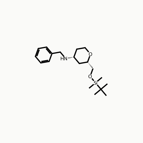 CC(C)(C)[Si](C)(C)OC[C@@H]1C[C@H](NCc2ccccc2)CCO1